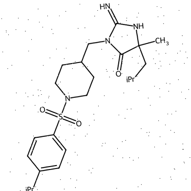 CC(C)CC1(C)NC(=N)N(CC2CCN(S(=O)(=O)c3ccc(C(C)C)cc3)CC2)C1=O